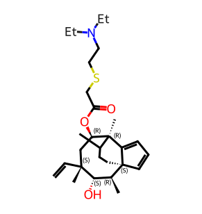 C=C[C@]1(C)C[C@@H](OC(=O)CSCCN(CC)CC)[C@@]2(C)C3=CC=C[C@@]3(CCC2C)[C@@H](C)[C@@H]1O